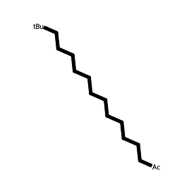 CC(=O)CCCCCCCCCCCCC(C)(C)C